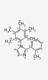 Cc1ccccc1-c1nccn1-c1c(C)c(C)c(C)c(C)c1C